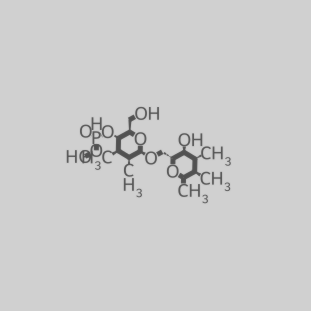 CC1O[C@H](CO[C@@H]2O[C@H](CO)[C@@H](O[PH](=O)OO)[C@H](C)[C@H]2C)[C@@H](O)[C@H](C)[C@H]1C